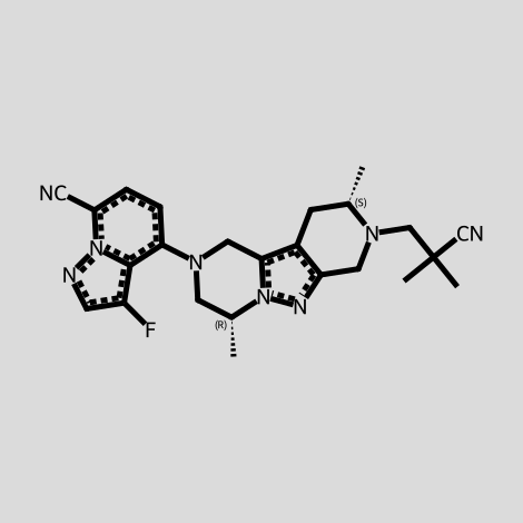 C[C@@H]1CN(c2ccc(C#N)n3ncc(F)c23)Cc2c3c(nn21)CN(CC(C)(C)C#N)[C@@H](C)C3